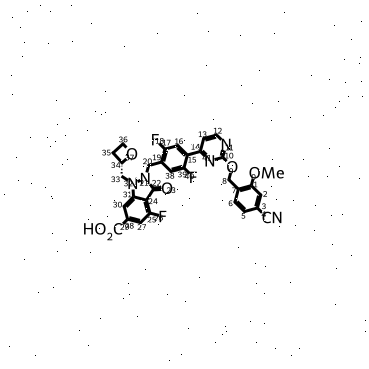 COc1cc(C#N)ccc1COc1nccc(-c2cc(F)c(Cn3c(=O)c4c(F)cc(C(=O)O)cc4n3C[C@@H]3CCO3)cc2F)n1